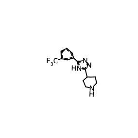 FC(F)(F)c1cccc(-c2nnc(C3CCNCC3)[nH]2)c1